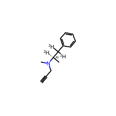 [2H]C([2H])(c1ccccc1)[C@@]([2H])(C)N(C)CC#C